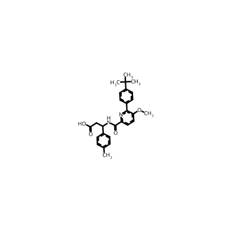 COc1ccc(C(=O)NC(CC(=O)O)c2ccc(C)cc2)nc1-c1ccc(C(C)(C)C)cc1